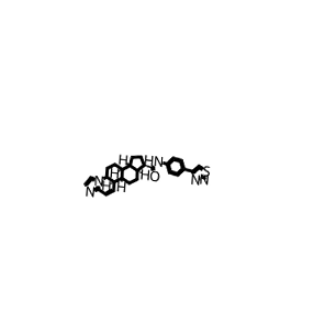 O=C(Nc1ccc(-c2csnn2)cc1)[C@@H]1CC[C@H]2[C@@H]3CCC4[C@H](C=Cc5nccn54)[C@H]3CC[C@@H]21